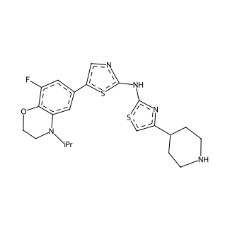 CC(C)N1CCOc2c(F)cc(-c3cnc(Nc4nc(C5CCNCC5)cs4)s3)cc21